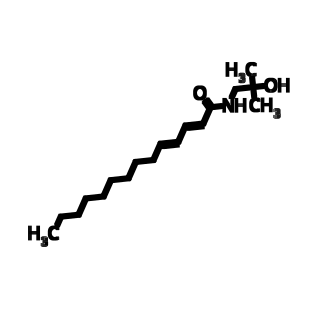 CCCCCCCCC/C=C/C=CC(=O)NCC(C)(C)O